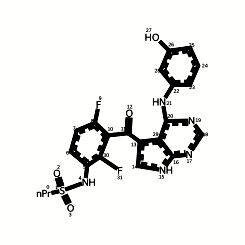 CCCS(=O)(=O)Nc1ccc(F)c(C(=O)c2c[nH]c3ncnc(Nc4cccc(O)c4)c23)c1F